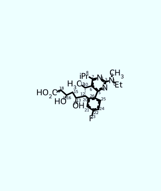 CCN(C)c1nc2c(c(C(C)C)n1)C(C)[C@@H]([C@@H](O)C[C@@H](O)CC(=O)O)c1cc(F)ccc1-2